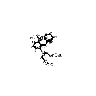 CCCCCCCCCCCCN(CCCCCCCCCCCC)C1C=CC=C(N(C)C)C1=Cc1ccccc1